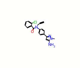 C#CCN(C(=O)c1ccccc1Cl)c1ccc(-c2cc(N)n(C)n2)cc1